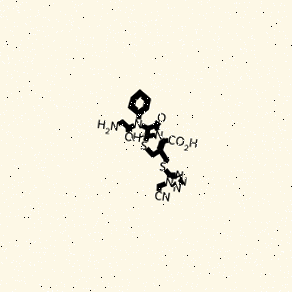 N#CCn1nnnc1SCC1=C(C(=O)O)N2C(=O)C(N(C(=O)CN)c3ccccc3)[C@@H]2SC1